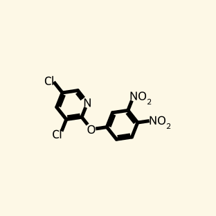 O=[N+]([O-])c1ccc(Oc2ncc(Cl)cc2Cl)cc1[N+](=O)[O-]